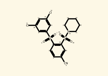 N#Cc1ccc(S(=O)(=O)c2cc(Cl)cc(Cl)c2)c(S(=O)(=O)N2CCCCC2)c1